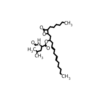 CCCCC/C=C/C/C=C/CC(CC1OC(=O)C1CCCCCC)OC(=O)C(CC(C)C)NC=O